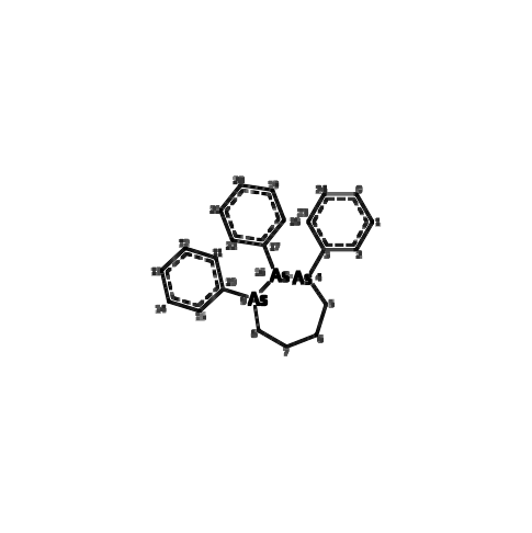 c1ccc([As]2CCCC[As](c3ccccc3)[As]2c2ccccc2)cc1